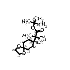 CC(C)(C)OC(=O)C(C)(C)C1(O)CCC2(CC1)OCCO2